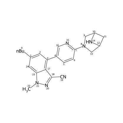 CCCCc1cc(-c2ccc(N3CC4CC(C3)N4)nc2)c2c(C#N)nn(C)c2c1